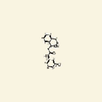 O=C(CC1NCCc2ccccc21)Nc1cccc(Cl)c1